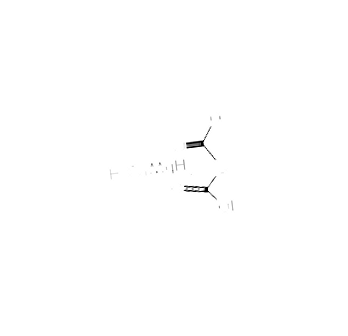 O=C(O)OC(=O)O.[CaH2].[MgH2]